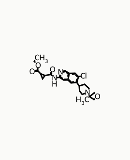 CCOC(=O)C1CC1C(=O)Nc1cc2cc(C3CCN(C4(C)COC4)CC3)c(Cl)cc2cn1